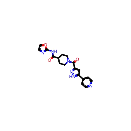 O=C(Nc1ncco1)C1CCN(C(=O)c2cc(-c3ccncc3)[nH]n2)CC1